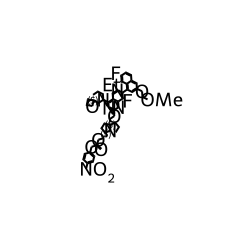 CCc1c(F)ccc2cc(OCOC)cc(-c3ncc4c(N5CCC[C@]6(CCO6)C5)nc(OC[C@@]56CCCN5[C@H](COC(=O)Oc5ccc([N+](=O)[O-])cc5)CC6)nc4c3F)c12